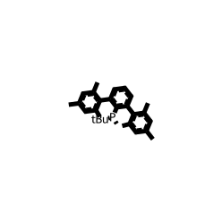 Cc1cc(C)c(-c2cccc(-c3c(C)cc(C)cc3C)c2P(C)C(C)(C)C)c(C)c1